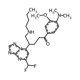 CCCCNCC(CCC(=O)c1ccc(N(C)C)c(OC)c1)c1cc(C(F)F)nc2ncnn12